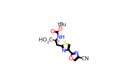 CC(C)(C)OC(=O)N[C@@H](Cc1nc(-c2nc(C#N)co2)cs1)C(=O)O